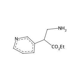 CCOC(=O)C(CN)c1cccnc1